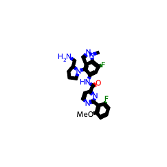 COc1cccc(F)c1-c1nccc(C(=O)Nc2cc(F)c3c(cnn3C)c2N2CCCC2CN)n1